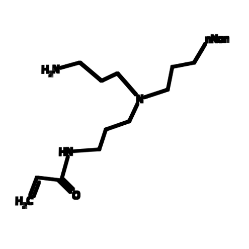 C=CC(=O)NCCCN(CCCN)CCCCCCCCCCCC